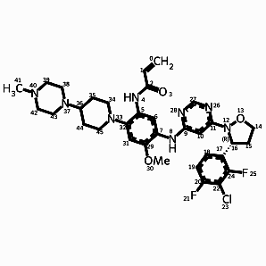 C=CC(=O)Nc1cc(Nc2cc(N3OCC[C@@H]3c3ccc(F)c(Cl)c3F)ncn2)c(OC)cc1N1CCC(N2CCN(C)CC2)CC1